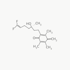 C=C1C(C)=C(C)C(=O)C(CC[C@](C)(O)CCC=C(F)F)=C1C